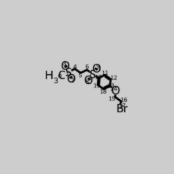 CS(=O)(=O)CCCS(=O)(=O)c1ccc(OCCBr)cc1